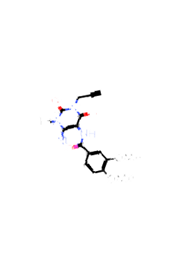 C#CCn1c(=O)c(NC(=O)c2ccc(OC)c(OC)c2)c(N)n(CC)c1=O